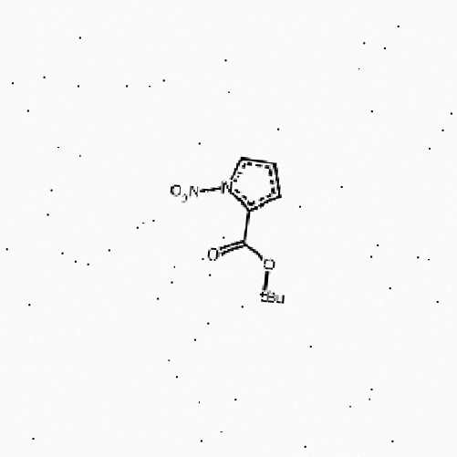 CC(C)(C)OC(=O)c1cccn1[N+](=O)[O-]